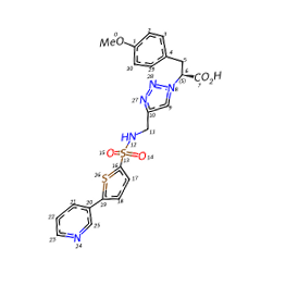 COc1ccc(C[C@@H](C(=O)O)n2cc(CNS(=O)(=O)c3ccc(-c4cccnc4)s3)nn2)cc1